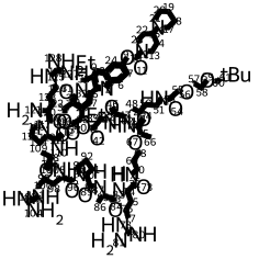 CCc1c2c(nc3ccc(OC(=O)N4CCC(N5CCCCC5)CC4)cc13)-c1cc3c(c(=O)n1C2)COC(=O)[C@@]3(CC)OC(=O)CNC(=O)[C@H](CCCCNC(=O)COCCOCC(C)(C)C)NC(=O)C(C)OCCCNC(=O)C(CCCNC(=N)N)NC(=O)C(C)NC(=O)C1CCCN1C(=O)C(CCCNC(=N)N)NC(=O)C(C)NC(=O)C1CCCN1C(=O)C(N)CCCNC(=N)N